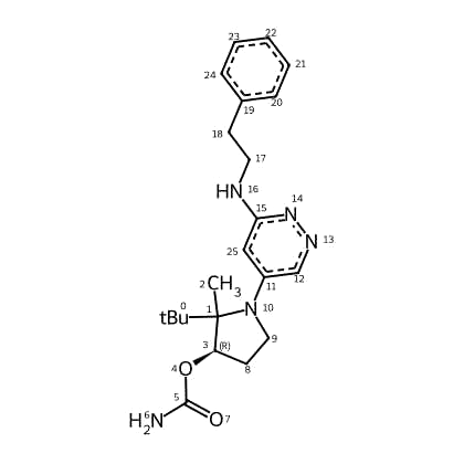 CC(C)(C)C1(C)[C@H](OC(N)=O)CCN1c1cnnc(NCCc2ccccc2)c1